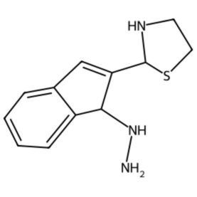 NNC1C(C2NCCS2)=Cc2ccccc21